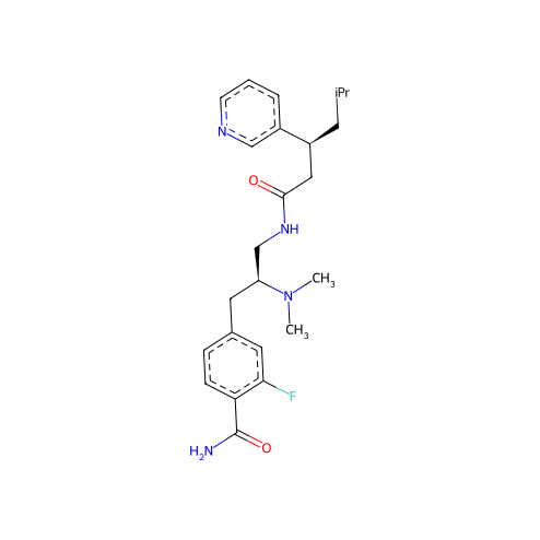 CC(C)C[C@@H](CC(=O)NC[C@H](Cc1ccc(C(N)=O)c(F)c1)N(C)C)c1cccnc1